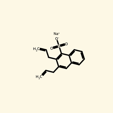 C=CCc1cc2ccccc2c(S(=O)(=O)[O-])c1CC=C.[Na+]